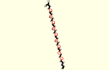 C=C/C=C/COCCOCCOCCOCCOCCOCCOCCOCCOCCC(C)C